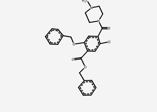 CN1CCN(C(=O)c2cc(OCc3ccccc3)c(C(=O)OCc3ccccc3)cc2Cl)CC1